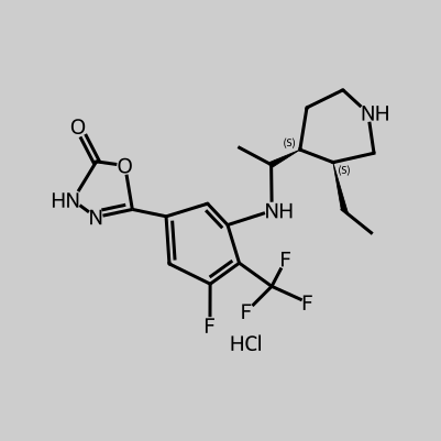 CC[C@@H]1CNCC[C@@H]1C(C)Nc1cc(-c2n[nH]c(=O)o2)cc(F)c1C(F)(F)F.Cl